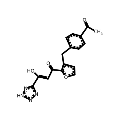 CC(=O)c1ccc(Cc2ccoc2C(=O)C=C(O)c2nn[nH]n2)cc1